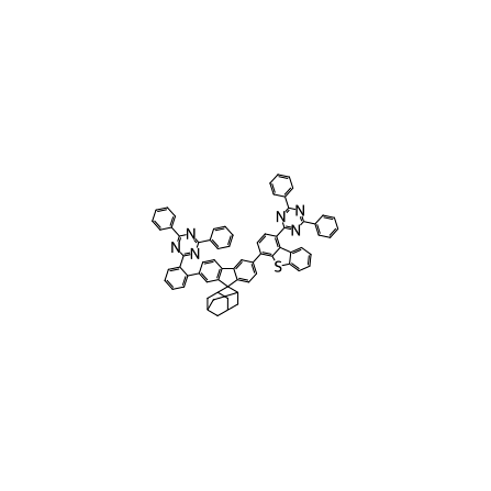 c1ccc(-c2nc(-c3ccccc3)nc(-c3ccccc3-c3ccc4c(c3)C3(c5ccc(-c6ccc(-c7nc(-c8ccccc8)nc(-c8ccccc8)n7)c7c6sc6ccccc67)cc5-4)C4CC5CC(C4)CC3C5)n2)cc1